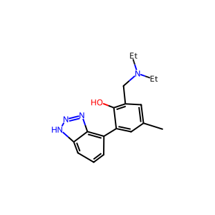 CCN(CC)Cc1cc(C)cc(-c2cccc3[nH]nnc23)c1O